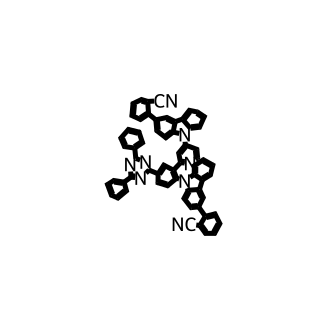 N#Cc1ccccc1-c1ccc2c(c1)c1ccccc1n2-c1ccnc(-c2cc(-c3nc(-c4ccccc4)nc(-c4ccccc4)n3)ccc2-n2c3ccccc3c3cc(-c4ccccc4C#N)ccc32)c1